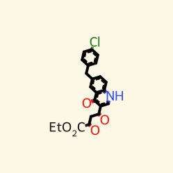 CCOC(=O)C(=O)CC(=O)c1c[nH]c2ccc(Cc3ccc(Cl)cc3)cc2c1=O